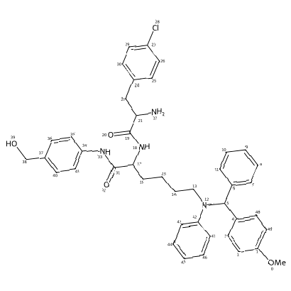 COc1ccc(C(c2ccccc2)N(CCCCC(NC(=O)C(N)Cc2ccc(Cl)cc2)C(=O)Nc2ccc(CO)cc2)c2ccccc2)cc1